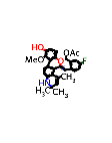 COc1c(O)ccc2c1-c1ccc3c(c1/C(=C/c1ccc(F)cc1COC(C)=O)O2)C(C)=CC(C)(C)N3